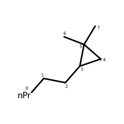 CCCCCC1[CH]C1(C)C